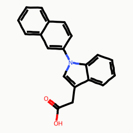 O=C(O)Cc1cn(-c2ccc3ccccc3c2)c2ccccc12